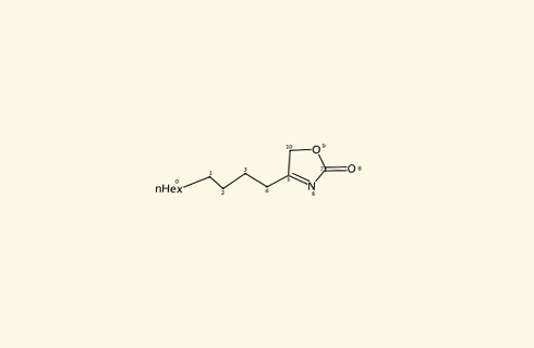 CCCCCCCCCCC1=NC(=O)OC1